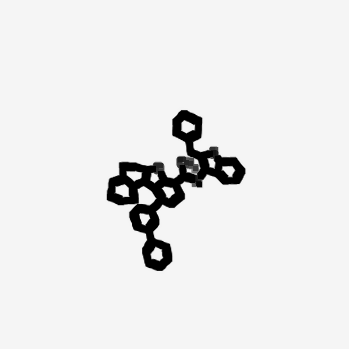 C/C(=N\c1c(Cc2ccccc2)sc2ccccc12)c1ccc(-c2cccc(-c3ccccc3)c2)c2c1oc1ccc3ccccc3c12